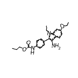 CCCOC(=O)Nc1ccc(-c2c(N)c3ccc(OCC)cc3n2CC)cc1